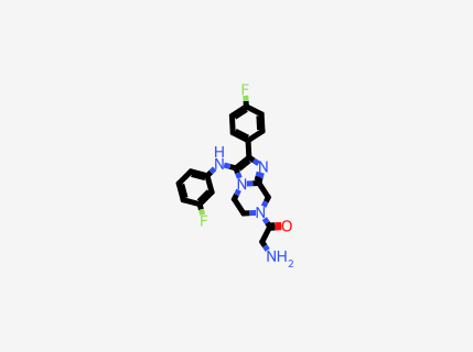 NCC(=O)N1CCn2c(nc(-c3ccc(F)cc3)c2Nc2cccc(F)c2)C1